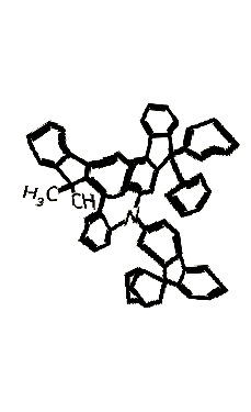 CC1(C)c2ccccc2-c2cccc(-c3ccccc3N(c3ccc4c(c3)C(c3ccccc3)(c3ccccc3)c3ccccc3-4)c3ccc4c(c3)C3(CC5CCC3C5)c3ccccc3-4)c21